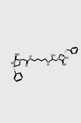 N=C1N[C@@H](Cc2ccccc2)CN1CC(=O)NCCCCNC(O)CN1C[C@H](Cc2ccccc2)NC1=N